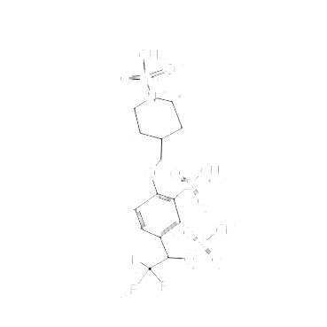 CS(=O)(=O)OC(c1ccc(OCC2CCN(S(C)(=O)=O)CC2)c(S(C)(=O)=O)c1)C(F)(F)F